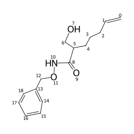 C=CCCCC(CO)C(=O)NOCc1ccccc1